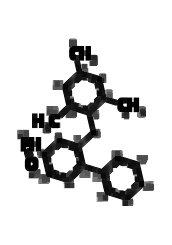 Cc1cc(C)c(Cc2ccccc2-c2ccccc2)c(C)c1.O=P